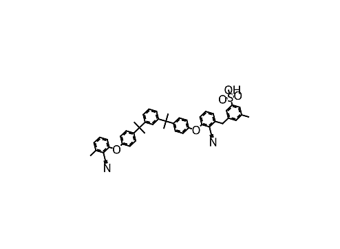 Cc1cc(Cc2cccc(Oc3ccc(C(C)(C)c4cccc(C(C)(C)c5ccc(Oc6cccc(C)c6C#N)cc5)c4)cc3)c2C#N)cc(S(=O)(=O)O)c1